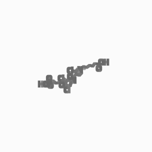 O=C(O)CCCCC[n+]1ccc(-c2nc3cc(Cl)c(OCCCS(=O)(=O)O)c(Cl)c3o2)c(Cl)c1